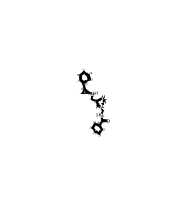 O=C(NCn1cc(CNC2CC2c2ccccc2)nn1)c1ccccc1